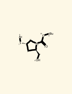 CC(=O)S[C@H]1C[C@H](CO)N(C(=O)OC(C)(C)C)C1